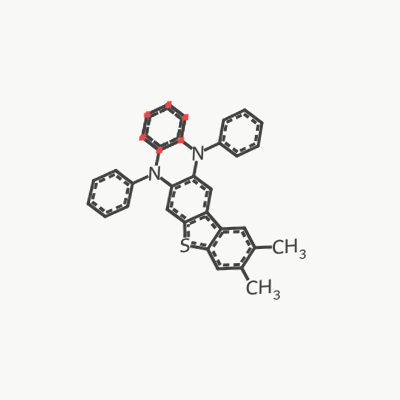 Cc1cc2sc3cc(N(c4ccccc4)c4ccccc4)c(N(c4ccccc4)c4ccccc4)cc3c2cc1C